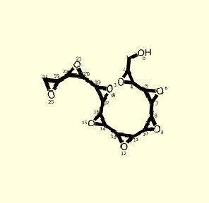 OCC1OC1C1OC1C1OC1C1OC1C1OC1C1OC1C1OC1C1CO1